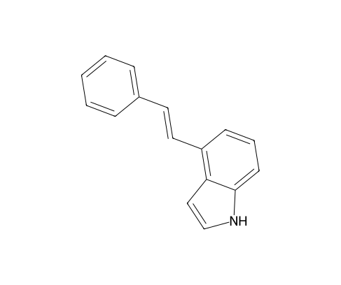 C(=Cc1cccc2[nH]ccc12)c1ccccc1